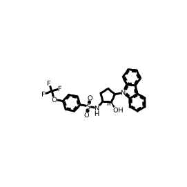 O=S(=O)(NC1CCC(n2c3ccccc3c3ccccc32)[C@H]1O)c1ccc(OC(F)(F)F)cc1